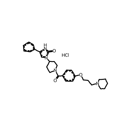 Cl.O=C(c1ccc(OCCCN2CCCCC2)cc1)N1CCC(n2cc(-c3ccccc3)[nH]c2=O)CC1